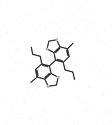 CCCc1cc(C)c2c(c1-c1c(CCC)cc(C)c3c1OCO3)OCO2